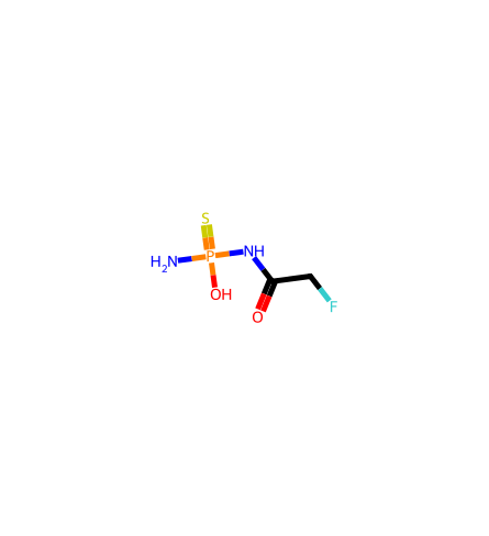 NP(O)(=S)NC(=O)CF